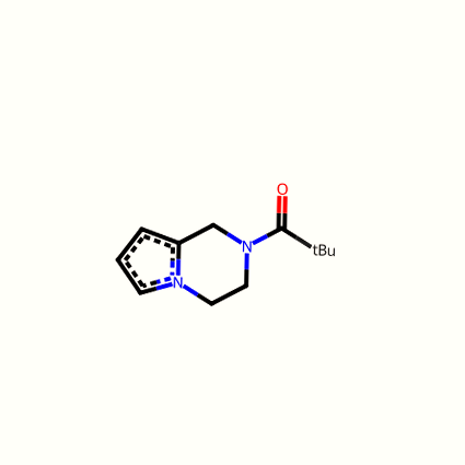 CC(C)(C)C(=O)N1CCn2cccc2C1